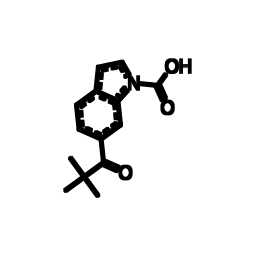 CC(C)(C)C(=O)c1ccc2ccn(C(=O)O)c2c1